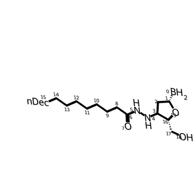 B[C@H]1CC(NNC(=O)CCCCCCCCCCCCCCCCC)[C@@H](CO)O1